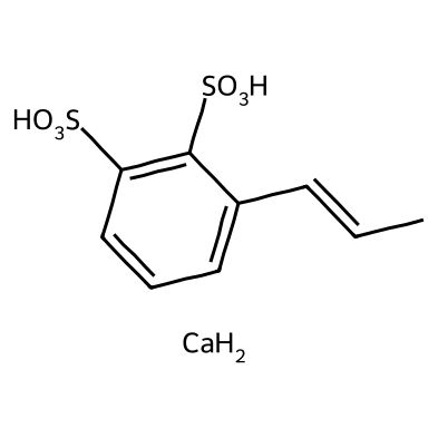 CC=Cc1cccc(S(=O)(=O)O)c1S(=O)(=O)O.[CaH2]